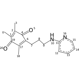 CC1=C(C)C(=O)C(CCCNc2ccccn2)=C(C)C1=O